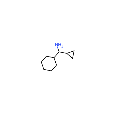 NC(C1C[CH]CCC1)C1CC1